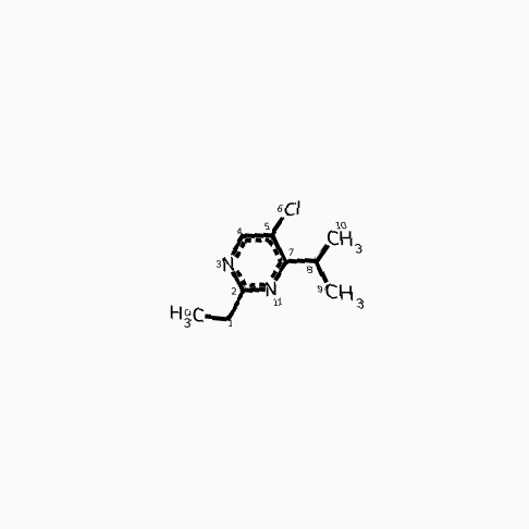 CCc1ncc(Cl)c(C(C)C)n1